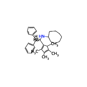 CC1=C(C)C(C)[C]([SnH]([NH]C2CCCCCCC2)[SiH](c2ccccc2)c2ccccc2)=C1C